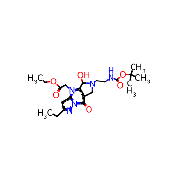 CCOC(=O)Cn1c2c(c(=O)n3nc(CC)cc13)CN(CCNC(=O)OC(C)(C)C)C2O